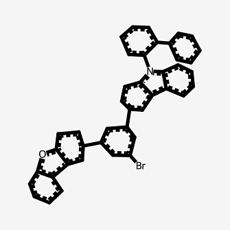 Brc1cc(-c2ccc3oc4ccccc4c3c2)cc(-c2ccc3c(c2)c2ccccc2n3-c2ccccc2-c2ccccc2)c1